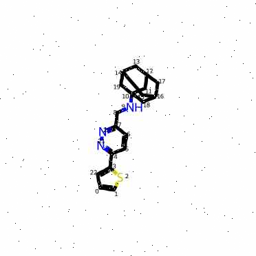 c1csc(-c2ccc(CNC34CC5CC(CC(C5)C3)C4)nn2)c1